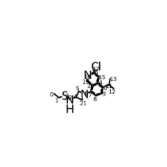 CCSNC1CN(c2ccc(C(C)C)c3cc(Cl)ncc23)C1